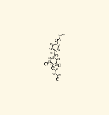 [CH2][CH]COc1ccc(C(C)(C)c2cc(Cl)c(OCCCCl)c(Cl)c2)cc1